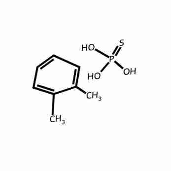 Cc1ccccc1C.OP(O)(O)=S